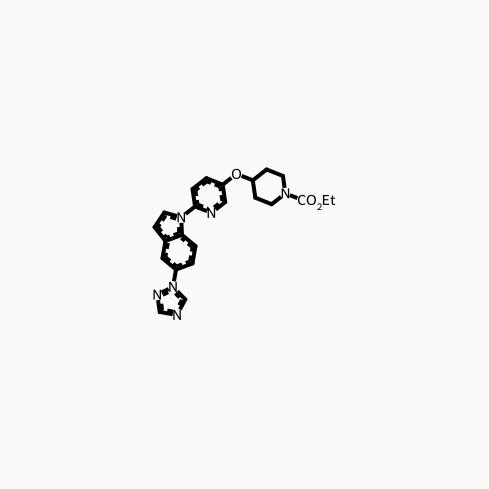 CCOC(=O)N1CCC(Oc2ccc(-n3ccc4cc(-n5cncn5)ccc43)nc2)CC1